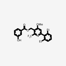 CCc1cccc(CC)c1-c1cc(OC)c(COC(=O)c2cccc(O)c2)c(C(F)(F)F)n1